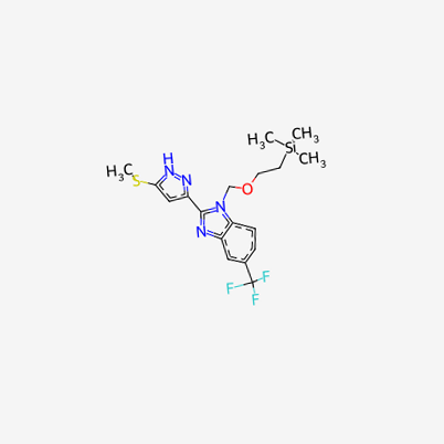 CSc1cc(-c2nc3cc(C(F)(F)F)ccc3n2COCC[Si](C)(C)C)n[nH]1